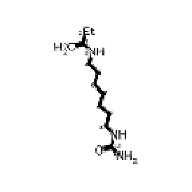 C=C(CC)NCCCCCCCNC(N)=O